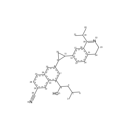 CC(C)CC(O)c1cc(C2CC2c2ccc3c(c2)C(C(C)C)=NCC3)cc2ccc(C#N)cc12